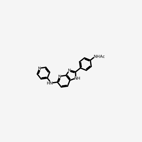 CC(=O)Nc1ccc(-c2nc3nc(Nc4ccncc4)ccc3[nH]2)cc1